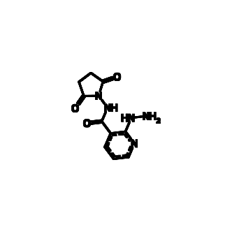 NNc1ncccc1C(=O)NN1C(=O)CCC1=O